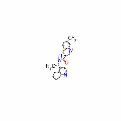 CC(NC(=O)c1cnc2cc(C(F)(F)F)ccc2c1)c1ccnc2ccccc12